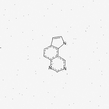 C1=Cc2ccc3ncncc3c2[N]1